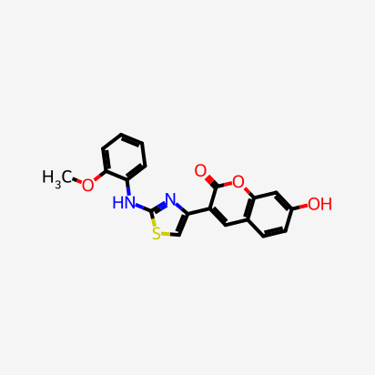 COc1ccccc1Nc1nc(-c2cc3ccc(O)cc3oc2=O)cs1